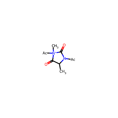 CC(=O)N1C(=O)[N+](C)(C(C)=O)C(=O)C1C